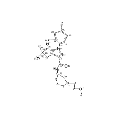 COCCN1CCC[C@@H](NC(=O)c2nn(-c3ccc(F)cc3F)c3c2C[C@H]2C[C@@H]32)C1